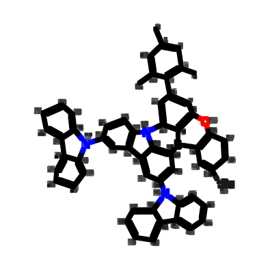 Cc1cc(C)c(-c2cc3c4c(c2)-n2c5ccc(-n6c7ccccc7c7ccccc76)cc5c5cc(-n6c7ccccc7c7ccccc76)cc(c52)B4c2cc(C(C)(C)C)ccc2O3)c(C)c1